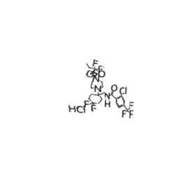 CCC(F)(F)S(=O)(=O)N1CCN(C2(CNC(=O)c3ccc(C(F)(F)F)cc3Cl)CCC(F)(F)CC2)CC1.Cl